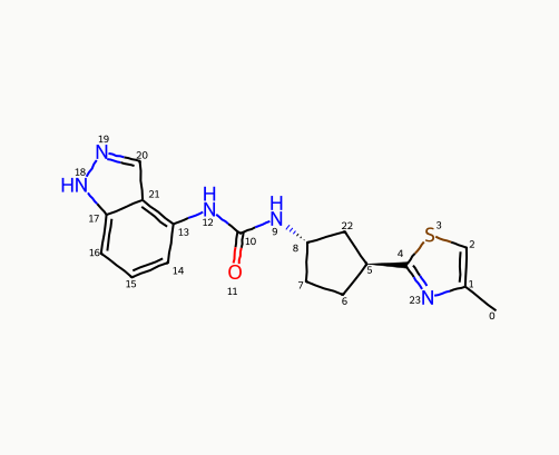 Cc1csc([C@H]2CC[C@H](NC(=O)Nc3cccc4[nH]ncc34)C2)n1